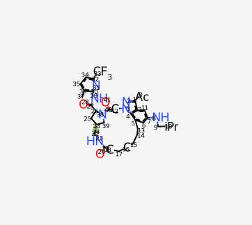 CC(=O)c1nn2c3c(cc(NCC(C)C)cc13)CCCCCCC(=O)NC[C@@]1(F)C[C@@H](C(=O)Nc3nc(C(F)(F)F)ccc3C)N(C1)C(=O)C2